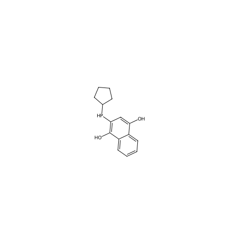 Oc1cc(PC2CCCC2)c(O)c2ccccc12